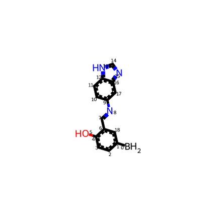 Bc1ccc(O)c(/C=N/c2ccc3[nH]cnc3c2)c1